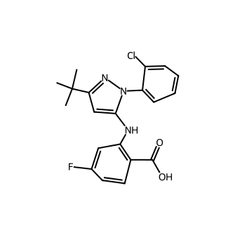 CC(C)(C)c1cc(Nc2cc(F)ccc2C(=O)O)n(-c2ccccc2Cl)n1